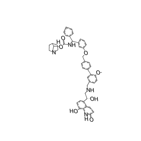 COc1ccc(CNC[C@H](O)c2ccc(O)c3[nH]c(=O)ccc23)cc1-c1ccc(COc2cccc([C@@H](NC(=O)O[C@H]3CN4CCC3CC4)c3ccccc3)c2)cc1